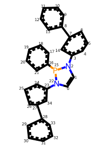 C1=CN(c2cccc(-c3ccccc3)c2)P(c2ccccc2)N1c1cccc(-c2ccccc2)c1